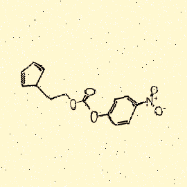 O=C(OCCC1C=CC=C1)Oc1ccc([N+](=O)[O-])cc1